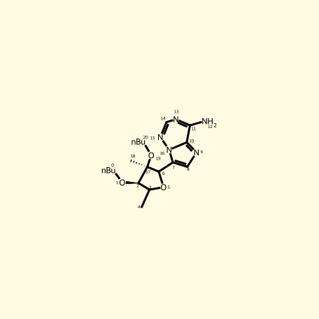 CCCCO[C@@H]1C(C)OC(c2cnc3c(N)ncnn23)[C@]1(C)OCCCC